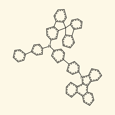 c1ccc(-c2ccc(N(c3ccc(-c4ccc(-n5c6ccccc6c6c7ccccc7c7ccccc7c65)cc4)cc3)c3ccc4c(c3)C3(c5ccccc5-c5ccccc53)c3ccccc3-4)cc2)cc1